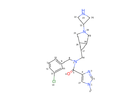 Cn1cnc(C(=O)N(Cc2cccc(Cl)c2)CC2C3CN(C4CNC4)CC23)c1